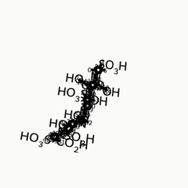 Cc1cc(S(=O)(=O)O)c(C)cc1/N=N/c1cc(OCCO)c(/N=N/c2c(S(=O)(=O)O)cc3cc(/N=N/c4c(C)nn(-c5ccc6c(O)c(/N=N/c7ccc(S(=O)(=O)O)cc7C(=O)O)c(S(=O)(=O)O)cc6c5)c4O)ccc3c2O)cc1OCCO